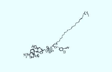 CCCCCCCCCCCCCCCCCCOC[C@H](COP(=O)(O)OC[C@@H]1C[C@@H](O)[C@](C#N)(c2ccc3c(N)ncnn23)O1)OCc1ccc(Cl)c(C#N)c1